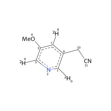 [2H]c1nc([2H])c(OC)c([2H])c1CC#N